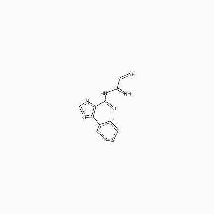 N=CC(=N)NC(=O)c1ncoc1-c1ccccc1